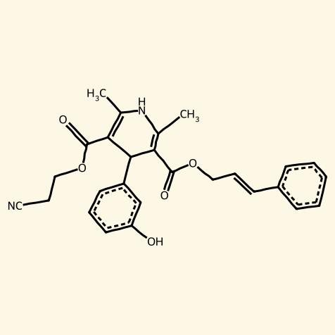 CC1=C(C(=O)OCC=Cc2ccccc2)C(c2cccc(O)c2)C(C(=O)OCCC#N)=C(C)N1